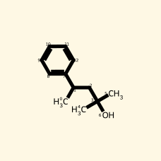 CC(CC(C)(C)O)c1ccccc1